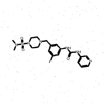 CN(C)S(=O)(=O)N1CCN(Cc2cc(F)cc(NC(=O)Nc3cccnc3)c2)CC1